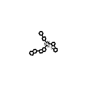 c1ccc(-c2ccc(-c3nc(-c4ccc5ccc(-c6ccc7ccccc7c6)cc5c4)nc(-c4cccc5c4sc4ccccc45)n3)cc2)cc1